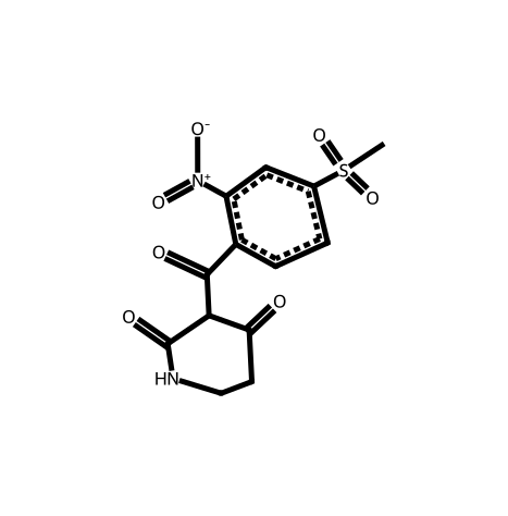 CS(=O)(=O)c1ccc(C(=O)C2C(=O)CCNC2=O)c([N+](=O)[O-])c1